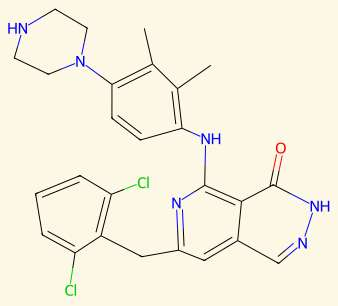 Cc1c(Nc2nc(Cc3c(Cl)cccc3Cl)cc3cn[nH]c(=O)c23)ccc(N2CCNCC2)c1C